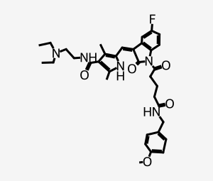 CCN(CC)CCNC(=O)c1c(C)[nH]c(/C=C2\C(=O)N(C(=O)CCCC(=O)NCc3ccc(OC)cc3)c3ccc(F)cc32)c1C